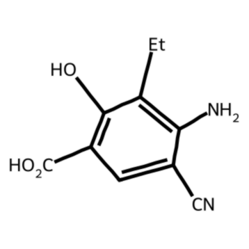 CCc1c(N)c(C#N)cc(C(=O)O)c1O